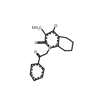 CCOC(=O)c1c(Cl)c2c(n(CC(=O)c3ccccc3)c1=O)CCCC2